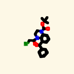 CC(C)(C)OC(=O)N1CCN(C(=O)CBr)c2c(C(=O)c3ccccc3)cccc21